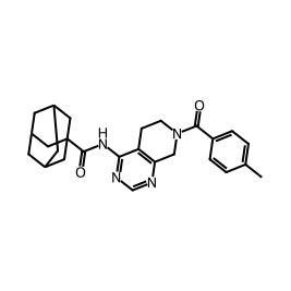 Cc1ccc(C(=O)N2CCc3c(ncnc3NC(=O)C34CC5CC(CC(C5)C3)C4)C2)cc1